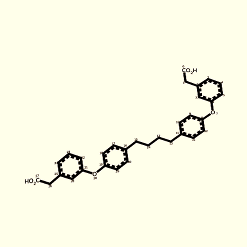 O=C(O)Cc1cccc(Oc2ccc(CCCCc3ccc(Oc4cccc(CC(=O)O)c4)cc3)cc2)c1